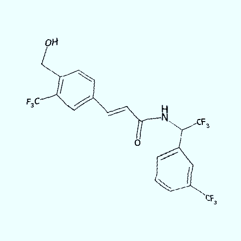 O=C(/C=C/c1ccc(CO)c(C(F)(F)F)c1)NC(c1cccc(C(F)(F)F)c1)C(F)(F)F